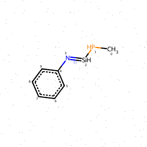 CP/[SiH]=N/c1ccccc1